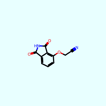 N#CCOc1cccc2c1C(=O)NC2=O